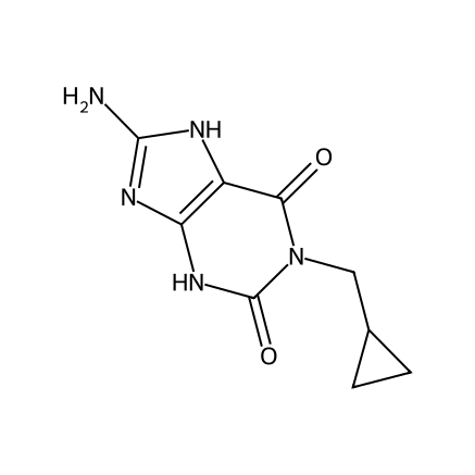 Nc1nc2[nH]c(=O)n(CC3CC3)c(=O)c2[nH]1